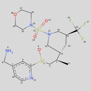 C[C@@H](C[S+]([O-])c1cc(CN)ccn1)[C@H]1C[C@H](C(F)(F)F)CN(S(=O)(=O)N2CCOCC2)C1